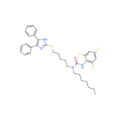 CCCCCCCN(CCCCCSc1nc(-c2ccccc2)c(-c2ccccc2)[nH]1)C(=O)Nc1c(F)cc(F)cc1F